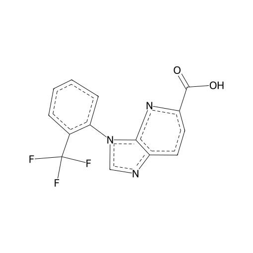 O=C(O)c1ccc2ncn(-c3ccccc3C(F)(F)F)c2n1